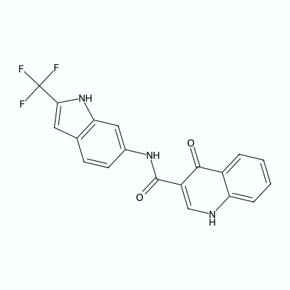 O=C(Nc1ccc2cc(C(F)(F)F)[nH]c2c1)c1c[nH]c2ccccc2c1=O